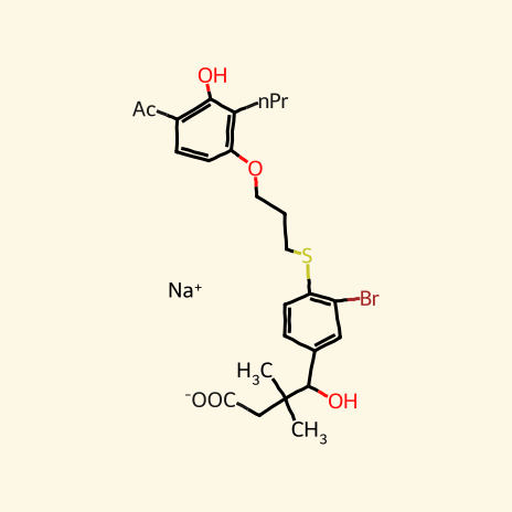 CCCc1c(OCCCSc2ccc(C(O)C(C)(C)CC(=O)[O-])cc2Br)ccc(C(C)=O)c1O.[Na+]